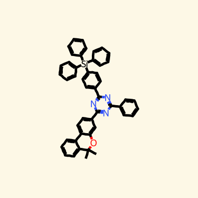 CC1(C)Oc2cc(-c3nc(-c4ccccc4)nc(-c4ccc([Si](c5ccccc5)(c5ccccc5)c5ccccc5)cc4)n3)ccc2-c2ccccc21